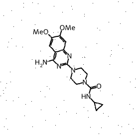 COc1cc2nc(N3CCN(C(=O)NC4CC4)CC3)nc(N)c2cc1OC